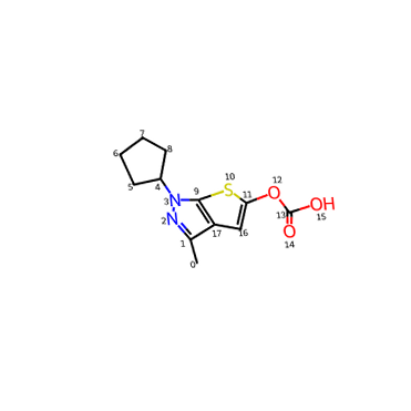 Cc1nn(C2CCCC2)c2sc(OC(=O)O)cc12